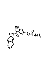 NCC(=O)OCc1ccc(C(CN)C(=O)Nc2ccc3cnccc3c2)cc1